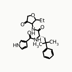 CCC1OCC(=O)C1NC(=O)[C@H](CC(C)(C)c1ccccc1)NC(=O)c1cc[nH]c1